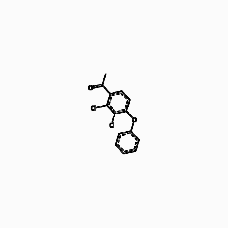 CC(=O)c1ccc(Oc2ccccc2)c(Cl)c1Cl